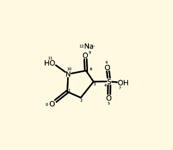 O=C1CC(S(=O)(=O)O)C(=O)N1O.[Na]